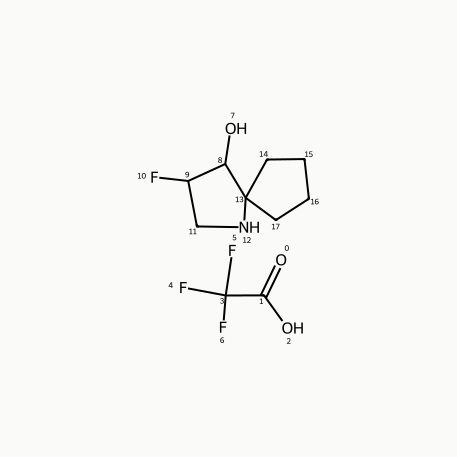 O=C(O)C(F)(F)F.OC1C(F)CNC12CCCC2